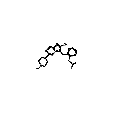 CC(=O)N1CCC(c2cn3c(Cc4ccccc4OC(F)F)c(C)nc3cn2)CC1